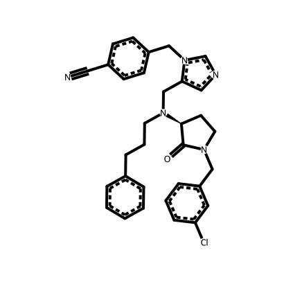 N#Cc1ccc(Cn2cncc2CN(CCCc2ccccc2)[C@H]2CCN(Cc3cccc(Cl)c3)C2=O)cc1